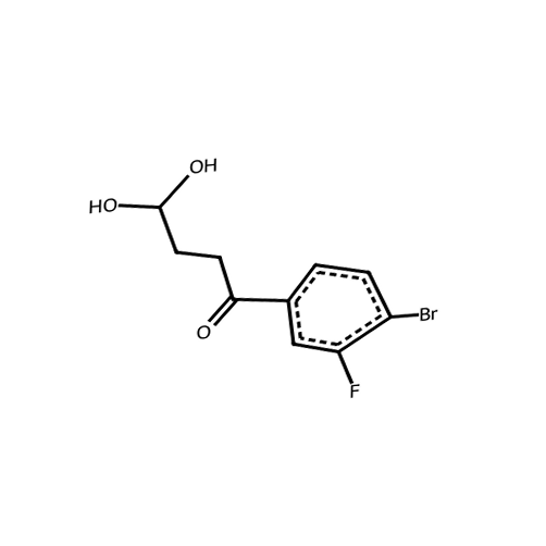 O=C(CCC(O)O)c1ccc(Br)c(F)c1